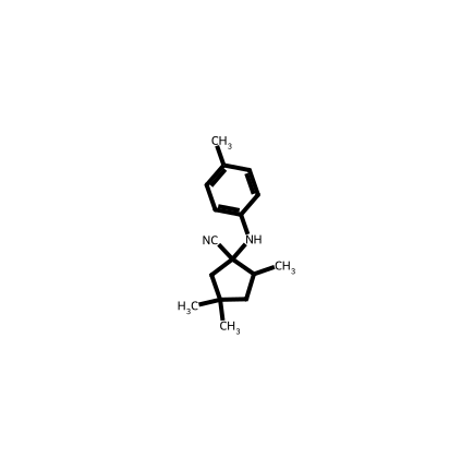 Cc1ccc(NC2(C#N)CC(C)(C)CC2C)cc1